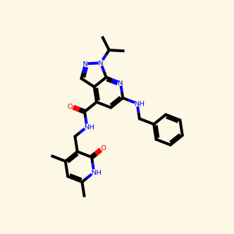 Cc1cc(C)c(CNC(=O)c2cc(NCc3ccccc3)nc3c2cnn3C(C)C)c(=O)[nH]1